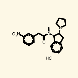 CN(C(=O)Cc1cccc([N+](=O)[O-])c1)[C@@H]1c2ccccc2C[C@H]1N1CCCC1.Cl